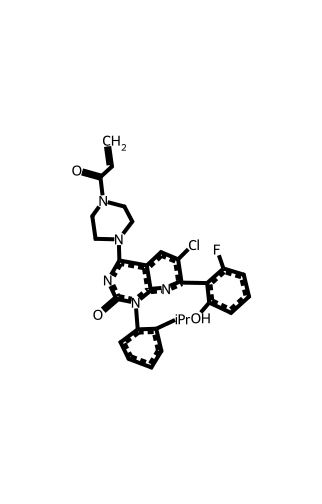 C=CC(=O)N1CCN(c2nc(=O)n(-c3ccccc3C(C)C)c3nc(-c4c(O)cccc4F)c(Cl)cc23)CC1